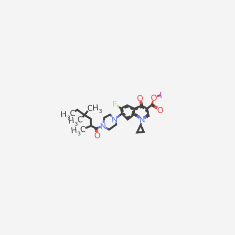 CCC(C)(C)CC(C)C(=O)N1CCN(c2cc3c(cc2F)c(=O)c(C(=O)OI)cn3C2CC2)CC1